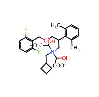 Cc1cccc(C)c1C(COCc1c(F)cccc1F)C[N+](CC1CCC1)(C(O)C(=O)[O-])C(O)C(=O)O